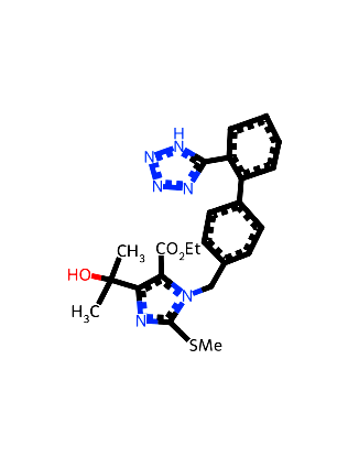 CCOC(=O)c1c(C(C)(C)O)nc(SC)n1Cc1ccc(-c2ccccc2-c2nnn[nH]2)cc1